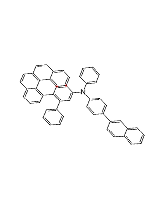 c1ccc(-c2cc(N(c3ccccc3)c3ccc(-c4ccc5ccccc5c4)cc3)ccc2-c2cccc3ccc4ccc5ccccc5c4c23)cc1